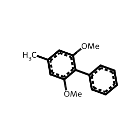 COc1cc(C)cc(OC)c1-c1ccccc1